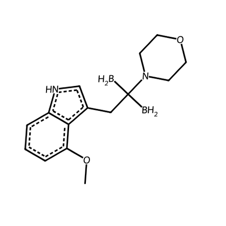 BC(B)(Cc1c[nH]c2cccc(OC)c12)N1CCOCC1